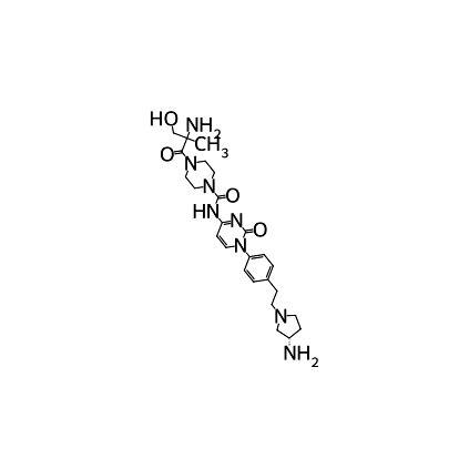 CC(N)(CO)C(=O)N1CCN(C(=O)Nc2ccn(-c3ccc(CCN4CC[C@H](N)C4)cc3)c(=O)n2)CC1